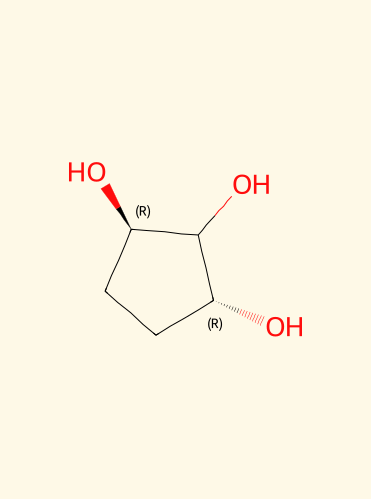 OC1[C@H](O)CC[C@H]1O